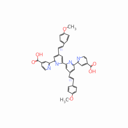 COc1ccc(/C=C/c2cc(-c3cc(C(=O)O)ccn3)nc(-c3cc(/C=C/c4ccc(OC)cc4)cc(-c4cc(C(=O)O)ccn4)n3)c2)cc1